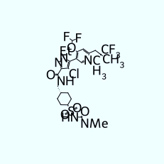 CCn1nc(C(=O)NC[C@H]2CC[C@H](S(=O)(=O)NC(=O)NC)CC2)c(Cl)c1-c1cnc(CC(C)(C)C(F)(F)F)cc1OC(F)F